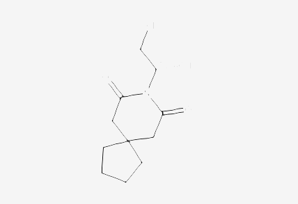 C[C@@H](CCl)N1C(=O)CC2(CCCC2)CC1=O